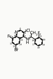 CC(Nc1c(Cl)cnc2c(F)cc(Br)cc12)c1ccccc1F